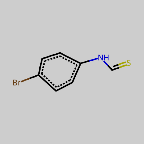 S=CNc1ccc(Br)cc1